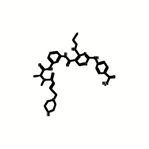 CCCNc1nc(Nc2ccc(C(N)=O)cc2)ncc1C(=O)Nc1cccc(NC(=O)[C@H](C)N(C)C(=O)/C=C/CN2CCNCC2)c1